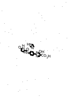 O=C1CCC(C(=O)Nc2ccc(-c3ncc(C(=O)O)c(O)n3)cc2)N1.c1c[nH]cn1